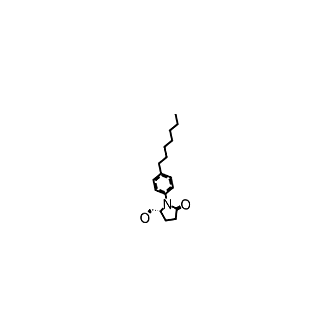 CCCCCCCc1ccc(N2C(=O)CC[C@@H]2C=O)cc1